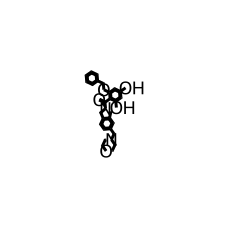 O=C(c1c(O)cc(O)cc1OCc1ccccc1)N1Cc2ccc(CN3CCOCC3)cc2C1